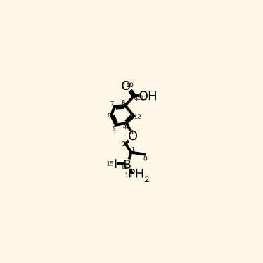 CC(COc1cccc(C(=O)O)c1)B(P)I